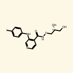 O=C(NOC[C@H](O)CO)c1ccncc1Nc1ccc(I)cc1